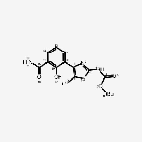 CC(C)c1sc(NC(=O)OC(C)(C)C)nc1-c1cccc(C(N)=O)c1O